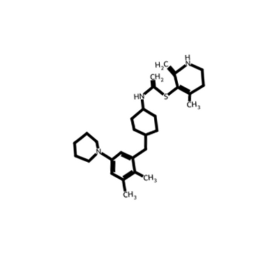 C=C(NC1CCC(Cc2cc(N3CCCCC3)cc(C)c2C)CC1)SC1=C(C)CCNC1=C